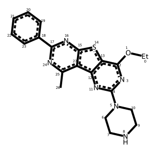 CCOc1nc(N2CCNCC2)nc2c1sc1nc(-c3ccccc3)nc(C)c12